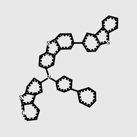 c1ccc(-c2ccc(N(c3ccc4sc5ccccc5c4c3)c3ccc4sc5ccc(-c6ccc7sc8ccccc8c7c6)cc5c4c3)cc2)cc1